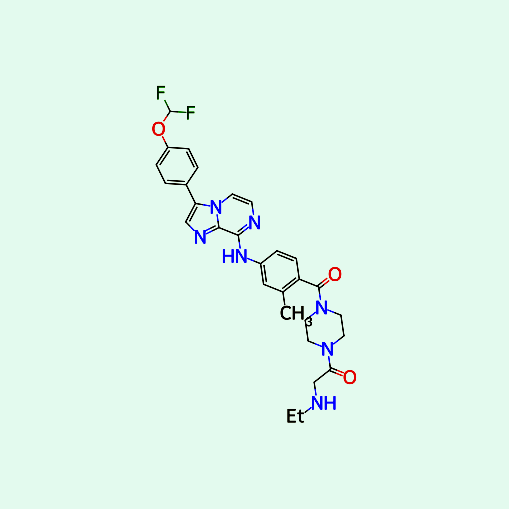 CCNCC(=O)N1CCN(C(=O)c2ccc(Nc3nccn4c(-c5ccc(OC(F)F)cc5)cnc34)cc2C)CC1